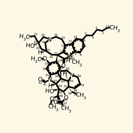 CCCCCCc1ccc2[nH]c3c(c2c1)CCN1C[C@H](C[C@@](O)(CC)C1)C[C@]3(C(=O)OC)c1cc2c(cc1OC)N(C=O)[C@H]1[C@@](O)(C(=O)OC)[C@H](OC(C)=O)[C@]3(CC)C=CCN4CC[C@]21[C@@H]43